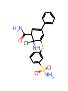 NC(=O)C1C=C(c2ccccc2)C=C(Sc2cccc(S(N)(=O)=O)c2)C1(N)Cl